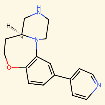 c1cc(-c2ccc3c(c2)N2CCNC[C@@H]2CCO3)ccn1